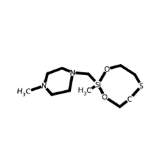 CN1CCN(C[Si]2(C)OCCSCCO2)CC1